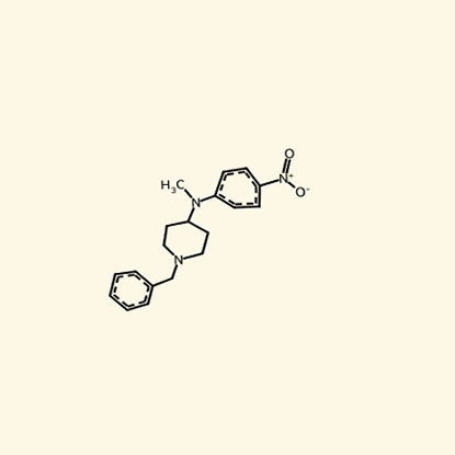 CN(c1ccc([N+](=O)[O-])cc1)C1CCN(Cc2ccccc2)CC1